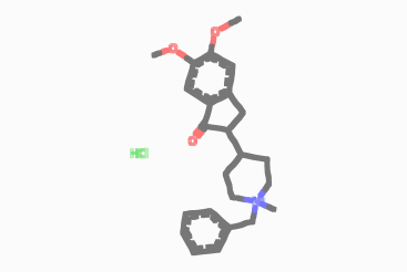 COc1cc2c(cc1OC)C(=O)C(C1CC[N+](C)(Cc3ccccc3)CC1)C2.Cl